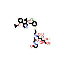 O=C1CCCN1CCCN(CCCSc1ccc(Cl)c(COC2(c3cnccc3-c3ccccc3OC3CC3)CC2)c1)C(=O)[C@@H](O)[C@@H](O)[C@H](O)[C@@H](O)CO